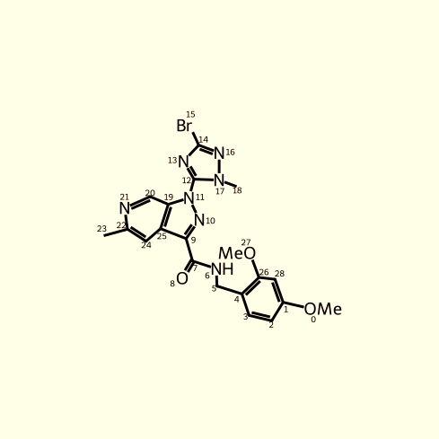 COc1ccc(CNC(=O)c2nn(-c3nc(Br)nn3C)c3cnc(C)cc23)c(OC)c1